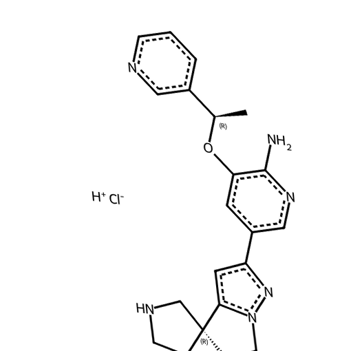 C[C@@H](Oc1cc(-c2cc3n(n2)CC[C@@]32CCNC2)cnc1N)c1cccnc1.[Cl-].[H+]